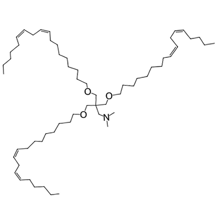 CCCCC/C=C\C/C=C\CCCCCCCCOCC(COCCCCCCCC/C=C\C/C=C\CCCCC)(COCCCCCCCC/C=C\C/C=C\CCCCC)CN(C)C